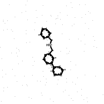 c1ccc(CNCc2cccc(-c3ccccc3)c2)cc1